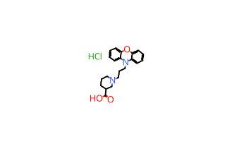 Cl.O=C(O)C1CCCN(CCCN2c3ccccc3Oc3ccccc32)C1